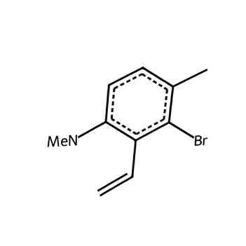 C=Cc1c(NC)ccc(C)c1Br